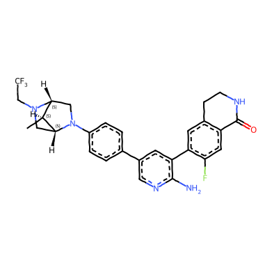 C[C@H]1[C@H]2CN(c3ccc(-c4cnc(N)c(-c5cc6c(cc5F)C(=O)NCC6)c4)cc3)[C@@H]1CN2CC(F)(F)F